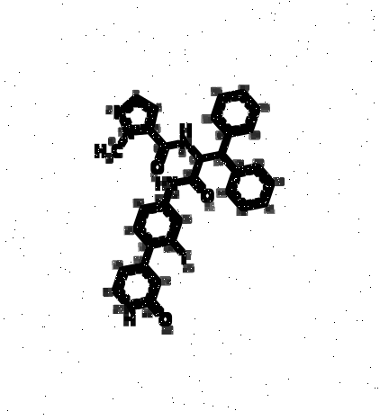 Cn1nccc1C(=O)NC(C(=O)Nc1ccc(-c2cc[nH]c(=O)c2)c(F)c1)C(c1ccccc1)c1ccccc1